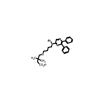 CC(C)N(CCCCOCC(C)(C)CC(=O)O)c1cnc(-c2ccccc2)c(-c2ccccc2)n1